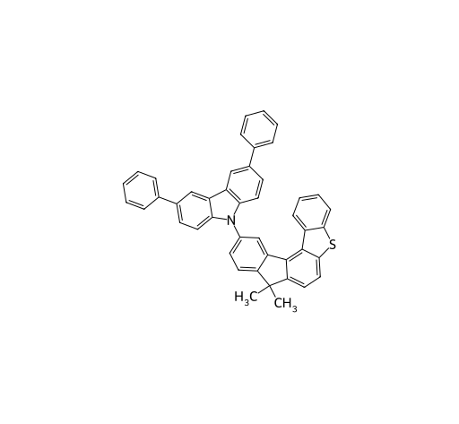 CC1(C)c2ccc(-n3c4ccc(-c5ccccc5)cc4c4cc(-c5ccccc5)ccc43)cc2-c2c1ccc1sc3ccccc3c21